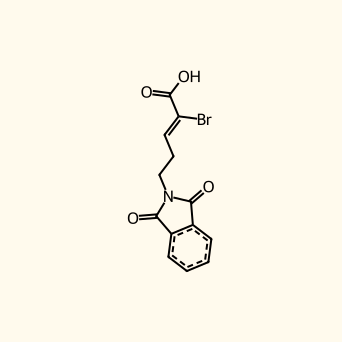 O=C(O)C(Br)=CCCN1C(=O)c2ccccc2C1=O